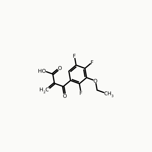 C=C(C(=O)O)C(=O)c1cc(F)c(F)c(OCC)c1F